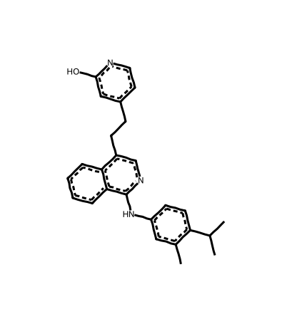 Cc1cc(Nc2ncc(CCc3ccnc(O)c3)c3ccccc23)ccc1C(C)C